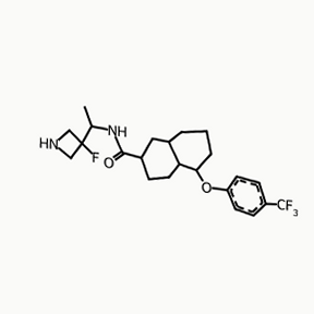 CC(NC(=O)C1CCC2C(CCCC2Oc2ccc(C(F)(F)F)cc2)C1)C1(F)CNC1